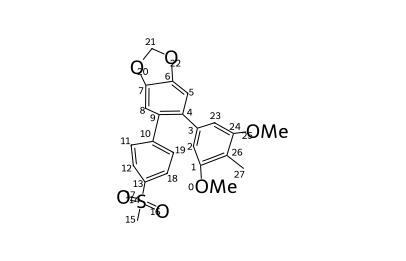 COc1cc(-c2cc3c(cc2-c2ccc(S(C)(=O)=O)cc2)OCO3)cc(OC)c1C